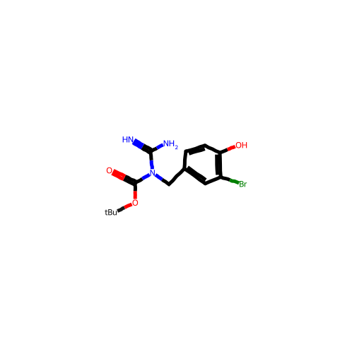 CC(C)(C)OC(=O)N(Cc1ccc(O)c(Br)c1)C(=N)N